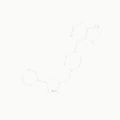 c1ccc(-n2cc(CN3CCC(c4cccc5[nH]cnc45)CC3)nn2)cc1